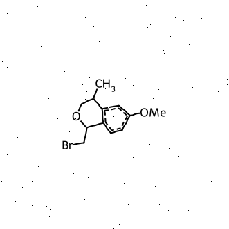 COc1ccc2c(c1)C(C)COC2CBr